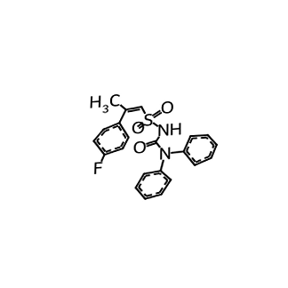 CC(=CS(=O)(=O)NC(=O)N(c1ccccc1)c1ccccc1)c1ccc(F)cc1